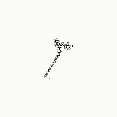 CCN(c1cc(-c2ccc(OCCOCCOCCOCCOCCOCCN)cc2)cc(C(=O)NCc2c(C)cc(C)[nH]c2=O)c1C)C1CCOCC1